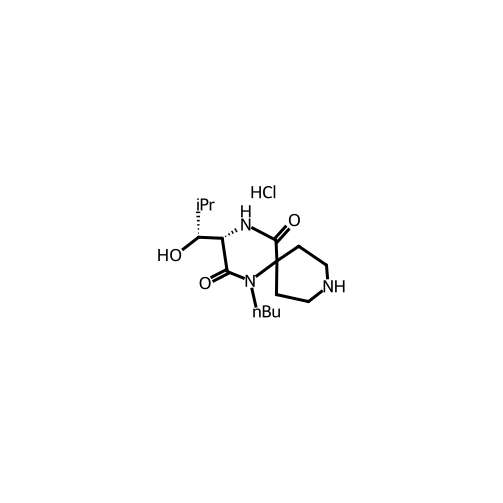 CCCCN1C(=O)[C@H]([C@H](O)C(C)C)NC(=O)C12CCNCC2.Cl